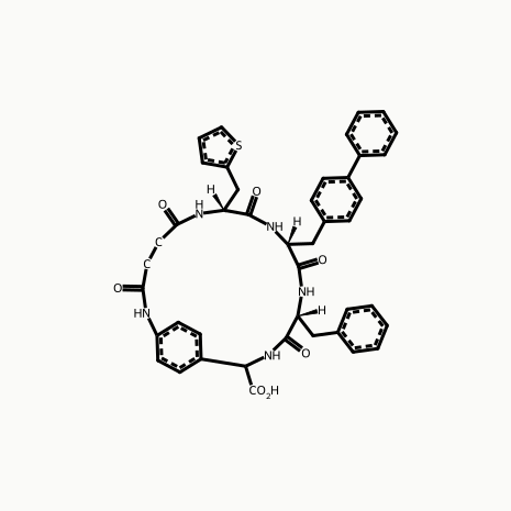 O=C1CCC(=O)N[C@H](Cc2cccs2)C(=O)N[C@H](Cc2ccc(-c3ccccc3)cc2)C(=O)N[C@H](Cc2ccccc2)C(=O)NC(C(=O)O)c2ccc(cc2)N1